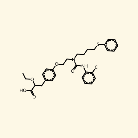 CCOC(Cc1ccc(OCCN(CCCCSc2ccccc2)C(=O)Nc2ccccc2Cl)cc1)C(=O)O